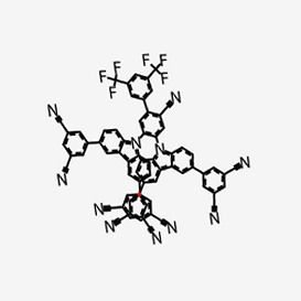 N#Cc1cc(C#N)cc(-c2ccc3c(c2)c2cc(-c4cc(C#N)cc(C#N)c4)ccc2n3-c2cc(C#N)c(-c3cc(C(F)(F)F)cc(C(F)(F)F)c3)cc2-n2c3ccc(-c4cc(C#N)cc(C#N)c4)cc3c3cc(-c4cc(C#N)cc(C#N)c4)ccc32)c1